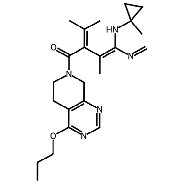 C=N/C(NC1(C)CC1)=C(\C)C(C(=O)N1CCc2c(ncnc2OCCC)C1)=C(C)C